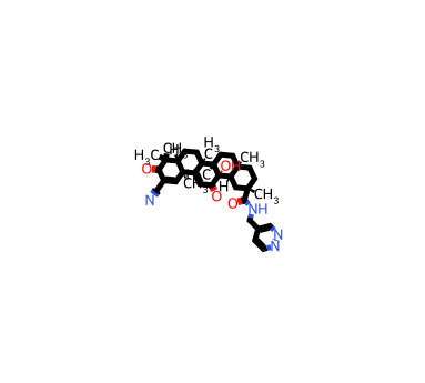 CC1(C)C(=O)C(C#N)=C[C@]2(C)C3=CC(=O)[C@]4(O)[C@@H]5C[C@@](C)(C(=O)NCc6ccnnc6)CC[C@]5(C)CC[C@@]4(C)[C@]3(C)CC[C@@H]12